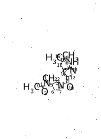 CC(=O)N(C)[C@H]1CCN(C(=O)c2cnc3c(c2)CC(C)(C)N3)C1